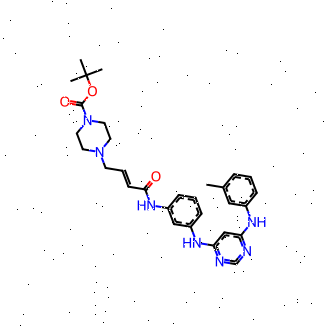 Cc1cccc(Nc2cc(Nc3cccc(NC(=O)C=CCN4CCN(C(=O)OC(C)(C)C)CC4)c3)ncn2)c1